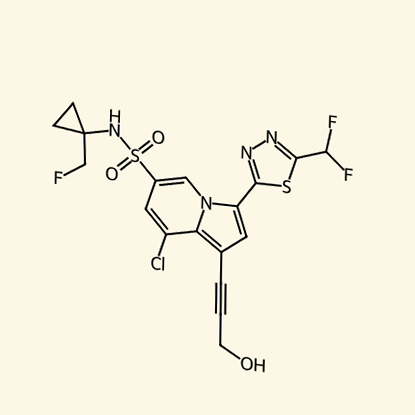 O=S(=O)(NC1(CF)CC1)c1cc(Cl)c2c(C#CCO)cc(-c3nnc(C(F)F)s3)n2c1